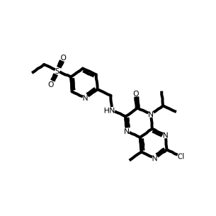 CCS(=O)(=O)c1ccc(CNc2nc3c(C)nc(Cl)nc3n(C(C)C)c2=O)nc1